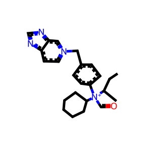 CCC(C)[N+](C=O)(c1ccc(Cn2ccc3ncnc-3c2)cc1)C1CCCCC1